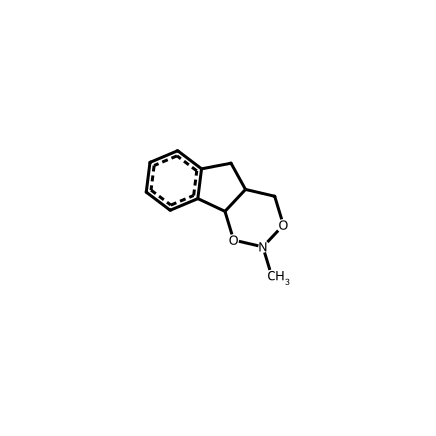 CN1OCC2Cc3ccccc3C2O1